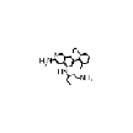 CCC(CCN)Nc1cc(-c2c(C)cccc2Cl)cc2cnc(N)cc12